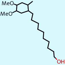 COC1CC(C)C(CCCCCCCCCCO)CC1OC